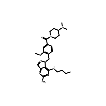 CCCCNc1nc(N)nc2cnn(Cc3ccc(C(=O)N4CCC(N(C)C)CC4)cc3OC)c12